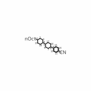 CCCCCCCCC1CCC(C2CCC(c3ccc(C#N)cc3)CC2)CC1